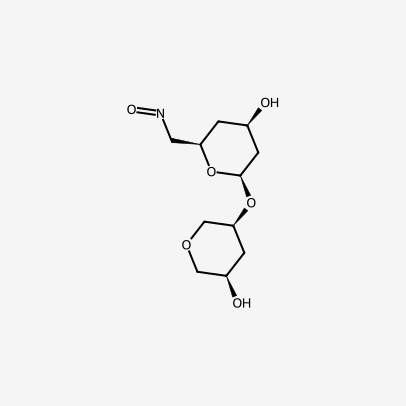 O=NC[C@H]1C[C@@H](O)C[C@@H](O[C@@H]2COC[C@H](O)C2)O1